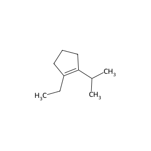 CCC1=C(C(C)C)CCC1